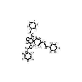 O=C(OCc1ccccc1)C1(C(=O)OCc2ccccc2)C=CC(/C=C/c2ccccc2)=CC1